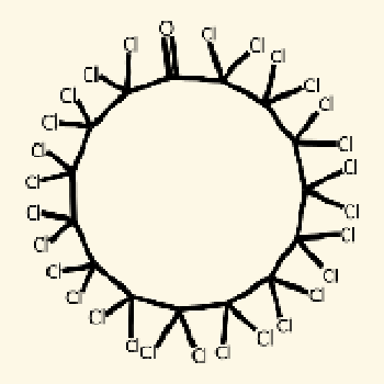 O=C1C(Cl)(Cl)C(Cl)(Cl)C(Cl)(Cl)C(Cl)(Cl)C(Cl)(Cl)C(Cl)(Cl)C(Cl)(Cl)C(Cl)(Cl)C(Cl)(Cl)C(Cl)(Cl)C(Cl)(Cl)C(Cl)(Cl)C(Cl)(Cl)C1(Cl)Cl